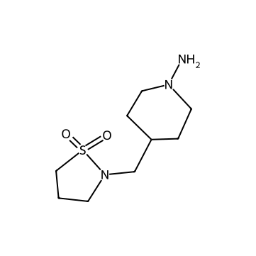 NN1CCC(CN2CCCS2(=O)=O)CC1